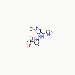 CO[C@@]1(c2cc(C)cc(-n3nc(-c4ccon4)c4cnc(Cl)cc43)n2)CCOC1